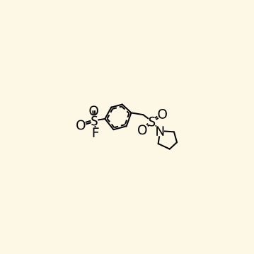 O=S(=O)(F)c1ccc(CS(=O)(=O)N2CCCC2)cc1